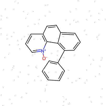 [O-][n+]1cccc2ccc3cccc(-c4ccccc4)c3c21